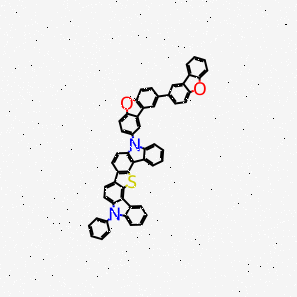 c1ccc(-n2c3ccccc3c3c4sc5c(ccc6c5c5ccccc5n6-c5ccc6oc7ccc(-c8ccc9oc%10ccccc%10c9c8)cc7c6c5)c4ccc32)cc1